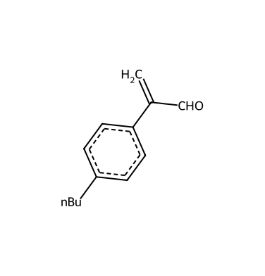 C=C(C=O)c1ccc(CCCC)cc1